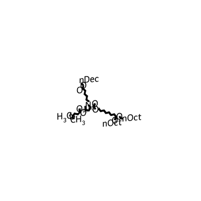 CCCCCCCCCCCOC(=O)CCCCCN1C[C@@H](OC(=O)CCN(C)C)C[C@H]1C(=O)OCCCCCCCC(=O)OC(CCCCCCCC)CCCCCCCC